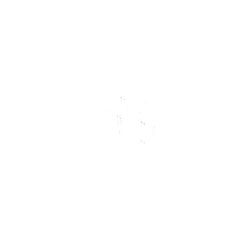 CCC1N(C)C=CN1C(=O)c1nc2ccccc2[nH]1